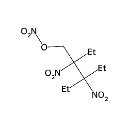 CCC(CC)([N+](=O)[O-])C(CC)(CO[N+](=O)[O-])[N+](=O)[O-]